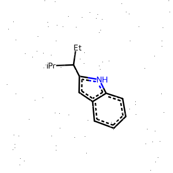 CCC(c1cc2ccccc2[nH]1)C(C)C